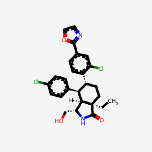 CC[C@@]12CC[C@@H](c3ccc(-c4ncco4)cc3Cl)[C@H](c3ccc(Cl)cc3)[C@@H]1[C@@H](CO)NC2=O